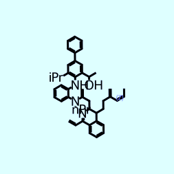 C=CC1=NC(CC(=C)N(CCC)c2ccccc2Nc2c(C(C)C)cc(-c3ccccc3)cc2C(C)O)C(CCC(=C)/C=C\C)c2ccccc21